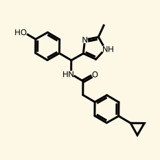 Cc1nc(C(NC(=O)Cc2ccc(C3CC3)cc2)c2ccc(O)cc2)c[nH]1